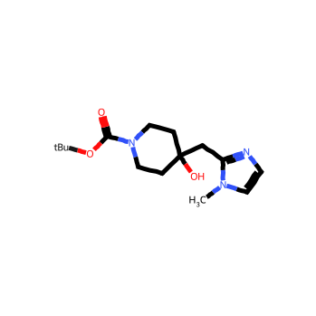 Cn1ccnc1CC1(O)CCN(C(=O)OC(C)(C)C)CC1